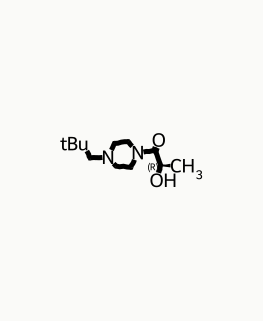 C[C@@H](O)C(=O)N1CCN(CC(C)(C)C)CC1